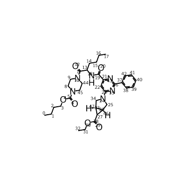 CCCCOC(=O)N1CCN(C(=O)C(CCCC)NC(=O)c2cc(N3C[C@@H]4C(C(=O)OCC)[C@@H]4C3)nc(-c3ccccc3)n2)CC1